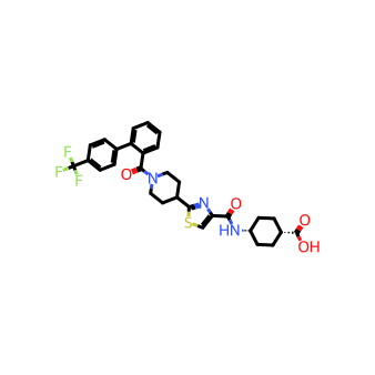 O=C(N[C@H]1CC[C@@H](C(=O)O)CC1)c1csc(C2CCN(C(=O)c3ccccc3-c3ccc(C(F)(F)F)cc3)CC2)n1